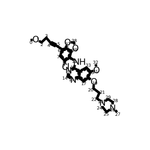 COCCC#Cc1cc(Cl)c(Nc2ncnc3cc(OCCCN4CCN(C)CC4)c(OC)cc23)c2c1OCO2